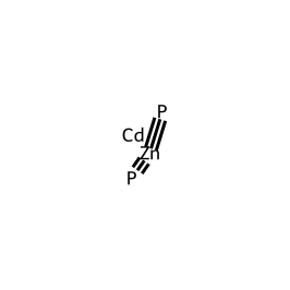 [Cd].[P]#[Zn]#[P]